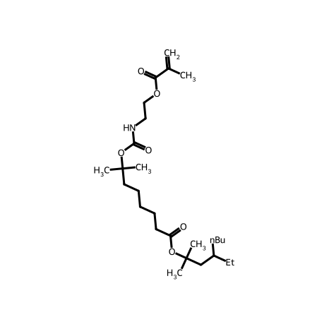 C=C(C)C(=O)OCCNC(=O)OC(C)(C)CCCCCC(=O)OC(C)(C)CC(CC)CCCC